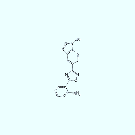 CC(C)n1nnc2cc(-c3noc(-c4ccccc4N)n3)ccc21